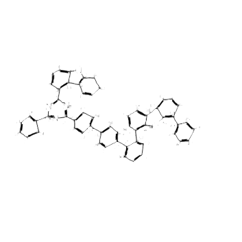 C1=Cc2c(oc3cccc(-c4nc(-c5ccccc5)nc(-c5ccc(-c6ccc(-c7ccccc7-c7cccc8c7oc7c(-c9ccccc9)cccc78)cc6)cc5)n4)c23)CC1